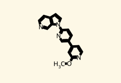 COc1cc(-c2ccc(-n3ccc4ccncc43)nc2)ccn1